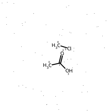 CC(=O)O.CCl